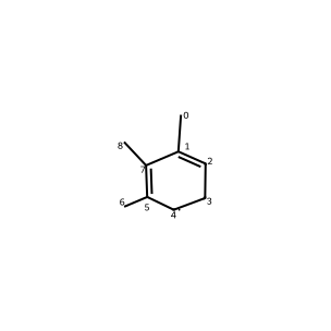 CC1=CC[CH]C(C)=C1C